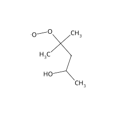 CC(O)CC(C)(C)O[O]